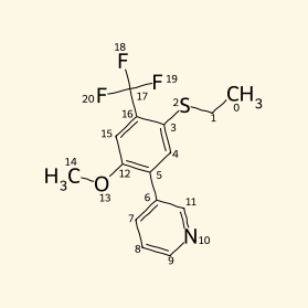 CCSc1cc(-c2cccnc2)c(OC)cc1C(F)(F)F